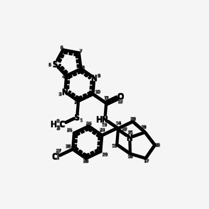 CSc1nc2sccc2nc1C(=O)NC1CC2CCC(C1)N2Cc1ccc(Cl)cc1